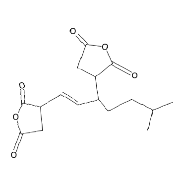 CC(C)CCC(C=CC1CC(=O)OC1=O)C1CC(=O)OC1=O